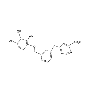 CCCc1c(OCc2cccc(Cc3cccc(C(=O)O)c3)c2)ccc(C(C)=O)c1O